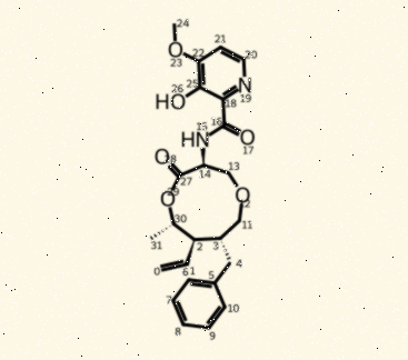 C=C[C@@H]1[C@@H](Cc2ccccc2)COC[C@H](NC(=O)c2nccc(OC)c2O)C(=O)O[C@H]1C